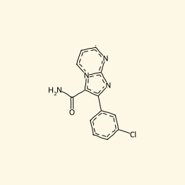 NC(=O)c1c(-c2cccc(Cl)c2)nc2n[c]ccn12